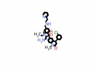 C=CN(C)/C(=C\N)C(O)(c1ccc(CNCCc2ccccn2)cc1)c1ccc2c(c1)c(-c1cccc(Cl)c1)cc(=O)n2C